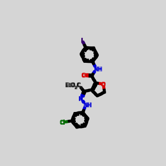 CCOC(=O)C(=NNc1cccc(Cl)c1)C1=C(C(=O)Nc2ccc(I)cc2)OCC1